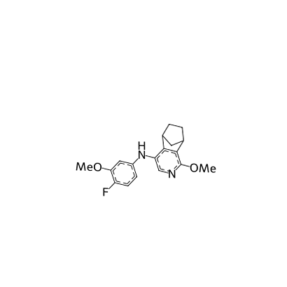 COc1cc(Nc2cnc(OC)c3c2C2CCC3C2)ccc1F